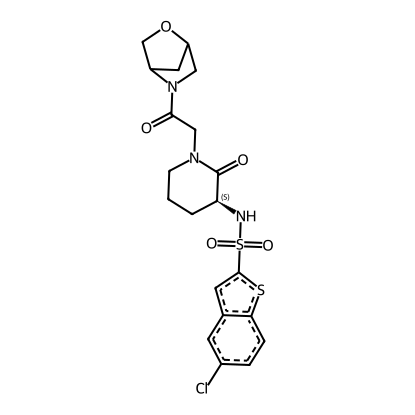 O=C1[C@@H](NS(=O)(=O)c2cc3cc(Cl)ccc3s2)CCCN1CC(=O)N1CC2CC1CO2